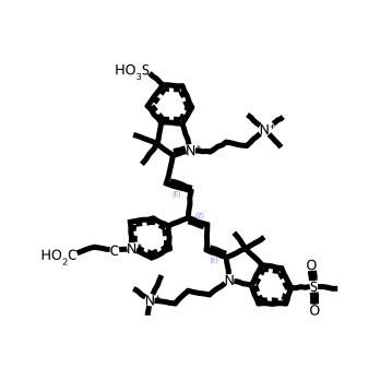 CC1(C)C(/C=C/C(=C/C=C2/N(CCC[N+](C)(C)C)c3ccc(S(C)(=O)=O)cc3C2(C)C)c2cc[n+](CCC(=O)O)cc2)=[N+](CCC[N+](C)(C)C)c2ccc(S(=O)(=O)O)cc21